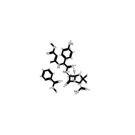 COC(=O)C=C(C)NC(C(=O)N[C@@H]1C(=O)N2[C@@H]1SC(C)(C)[C@@H]2C(=O)O)c1ccc(O)cc1.COC(=O)c1ccccc1